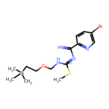 CS/C(=N/C(=N)c1ccc(Br)cn1)NCOCC[Si](C)(C)C